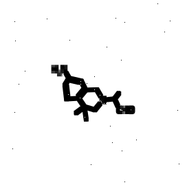 CC(C=O)N1Cc2cc(N)ccc2C(C)(C)C1